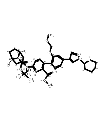 COCOc1cc(-c2cnn(C3CCCCO3)c2)ccc1-c1ccc(N(C)C2C[C@H]3CC[C@@H](C2)N3C(=O)OC(C)(C)C)nc1C(=O)OC